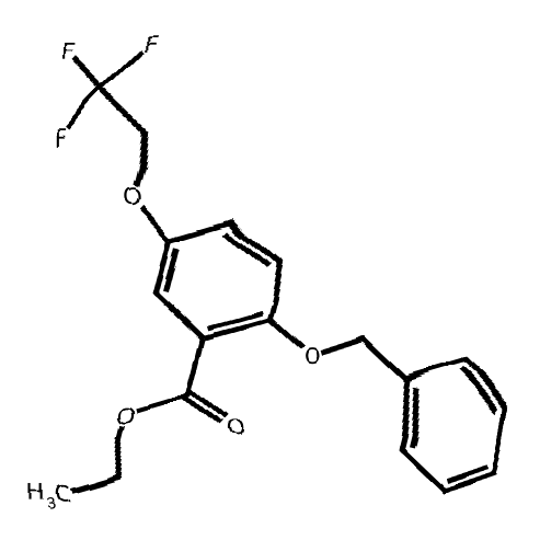 CCOC(=O)c1cc(OCC(F)(F)F)ccc1OCc1ccccc1